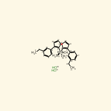 CCc1cccc(C2=[C]([Hf]([CH3])([CH3])(=[SiH2])[C]3=C(c4cccc(CC)c4)C=CC3)CC=C2)c1.Cl.Cl